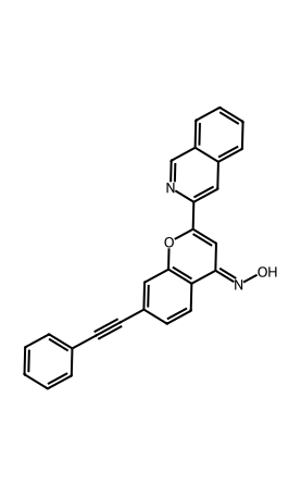 ON=c1cc(-c2cc3ccccc3cn2)oc2cc(C#Cc3ccccc3)ccc12